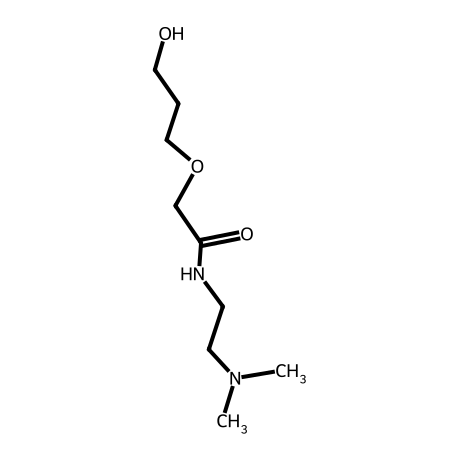 CN(C)CCNC(=O)COCCCO